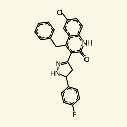 O=c1[nH]c2ccc(Cl)cc2c(Cc2ccccc2)c1C1=NNC(c2ccc(F)cc2)C1